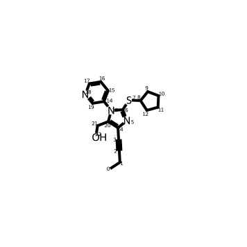 CCC#Cc1nc(SC2CCCC2)n(-c2cccnc2)c1CO